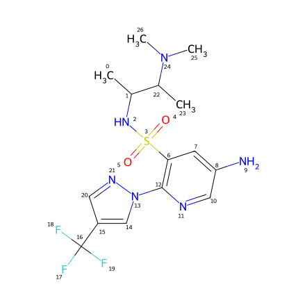 CC(NS(=O)(=O)c1cc(N)cnc1-n1cc(C(F)(F)F)cn1)C(C)N(C)C